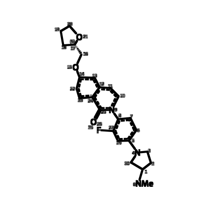 CNC1CCN(c2ccc(-n3ccc4cc(OC[C@@H]5CCCO5)ccc4c3=O)c(F)c2)C1